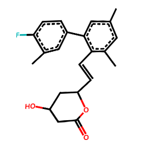 Cc1cc(C)c(C=CC2CC(O)CC(=O)O2)c(-c2ccc(F)c(C)c2)c1